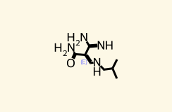 CC(C)CN/C=C(\C(=N)N)C(N)=O